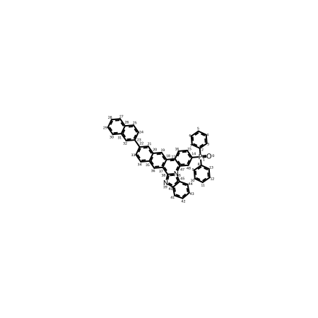 O=P(c1ccccc1)(c1ccccc1)c1ccc2c3cc4cc(-c5ccc6ccccc6c5)ccc4cc3c3nc4ccccc4n3c2c1